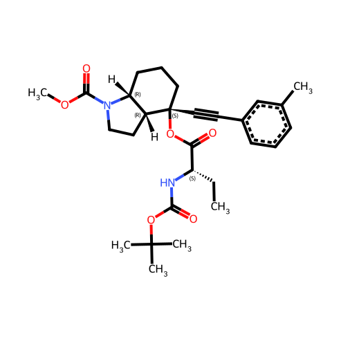 CC[C@H](NC(=O)OC(C)(C)C)C(=O)O[C@@]1(C#Cc2cccc(C)c2)CCC[C@@H]2[C@H]1CCN2C(=O)OC